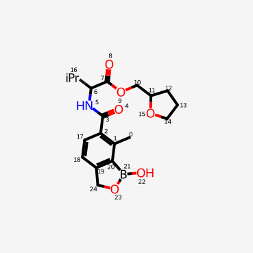 Cc1c(C(=O)NC(C(=O)OCC2CCCO2)C(C)C)ccc2c1B(O)OC2